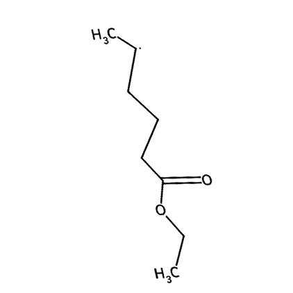 C[CH]CCCC(=O)OCC